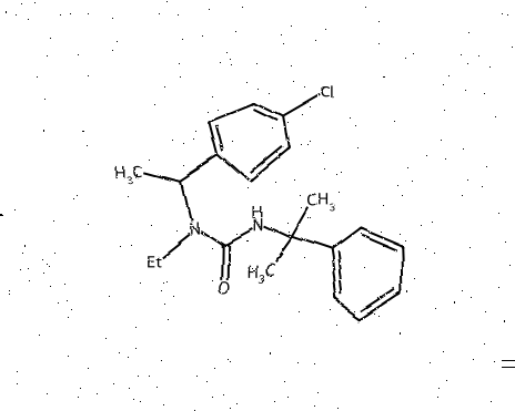 CCN(C(=O)NC(C)(C)c1ccccc1)C(C)c1ccc(Cl)cc1